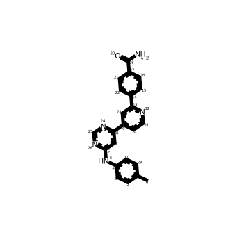 Cc1ccc(Nc2cc(-c3ccnc(-c4ccc(C(N)=O)cc4)c3)ncn2)cc1